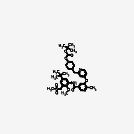 COc1c(CS(C)(=O)=O)cc(C(C)(C)C)cc1NC(=O)c1ccc(C)c(Oc2ccnc(CC3CCN(OC(=O)OC(C)(C)C)CC3)c2)c1